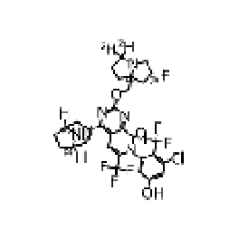 [2H]C1([2H])CC[C@@]2(COc3nc(N4C[C@H]5CC[C@@H](C4)N5)c4cc(C(F)(F)F)n(-c5cc(O)cc(Cl)c5C(F)(F)F)c(=O)c4n3)C[C@@H](F)CN12